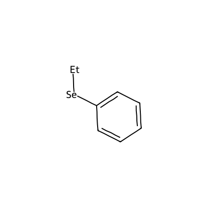 [CH2]C[Se]c1ccccc1